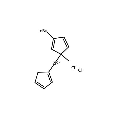 CCCCC1=C[C](C)([Zr+2][C]2=CC=CC2)C=C1.[Cl-].[Cl-]